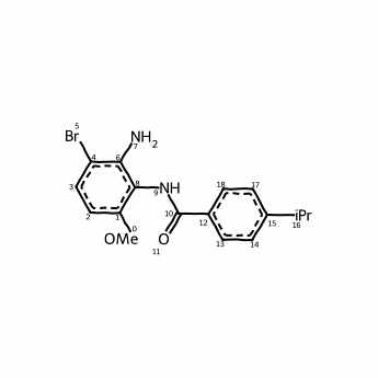 COc1ccc(Br)c(N)c1NC(=O)c1ccc(C(C)C)cc1